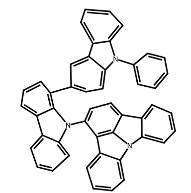 c1ccc(-n2c3ccccc3c3cc(-c4cccc5c6ccccc6n(-c6ccc7c8ccccc8n8c9ccccc9c6c78)c45)ccc32)cc1